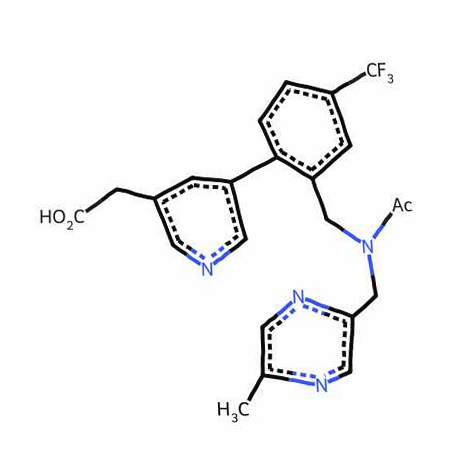 CC(=O)N(Cc1cnc(C)cn1)Cc1cc(C(F)(F)F)ccc1-c1cncc(CC(=O)O)c1